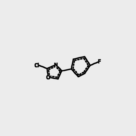 Fc1ccc(-c2coc(Cl)n2)cc1